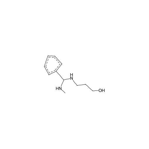 CNC(NCCCO)c1ccccc1